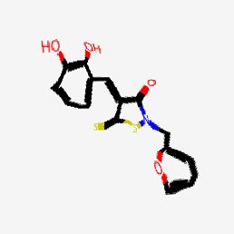 O=C1C(=Cc2cccc(O)c2O)C(=S)SN1Cc1ccco1